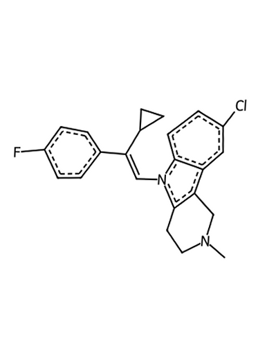 CN1CCc2c(c3cc(Cl)ccc3n2C=C(c2ccc(F)cc2)C2CC2)C1